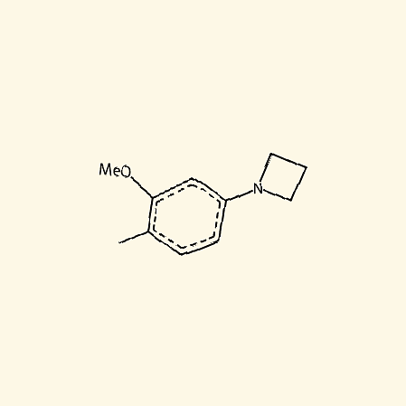 COc1cc(N2CCC2)ccc1C